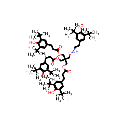 CC(C)(C)c1cc(CCNOCC(COC(=O)CCc2cc(C(C)(C)C)c(O)c(C(C)(C)C)c2)(COC(=O)CCc2cc(C(C)(C)C)c(O)c(C(C)(C)C)c2)COC(=O)CCc2cc(C(C)(C)C)c(O)c(C(C)(C)C)c2)cc(C(C)(C)C)c1O